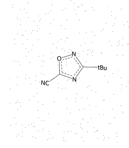 CC(C)(C)c1noc(C#N)n1